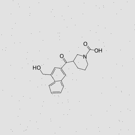 O=C(c1cc(CO)c2ccccc2c1)C1CCCN(C(=O)O)C1